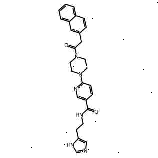 O=C(NCCc1cnc[nH]1)c1ccc(N2CCN(C(=O)Cc3ccc4ccccc4c3)CC2)nc1